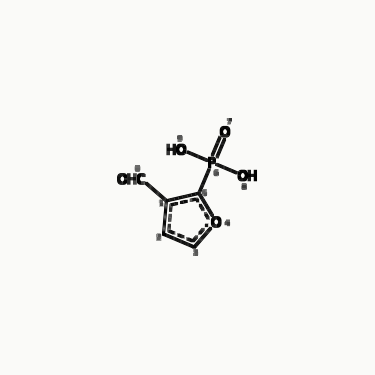 O=Cc1ccoc1P(=O)(O)O